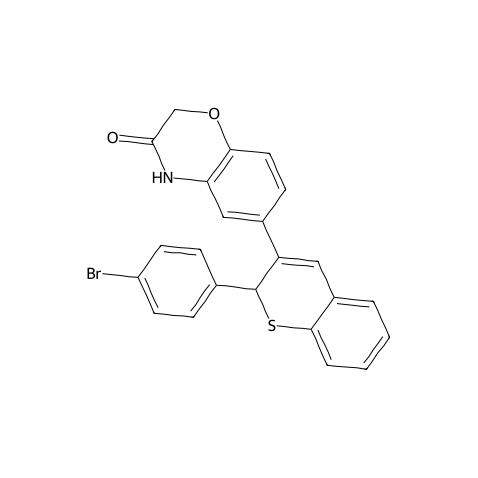 O=C1COc2ccc(C3=Cc4ccccc4SC3c3ccc(Br)cc3)cc2N1